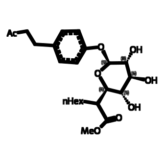 CCCCCCC(C(=O)OC)[C@H]1O[C@@H](Oc2ccc(CCC(C)=O)cc2)[C@H](O)[C@@H](O)[C@@H]1O